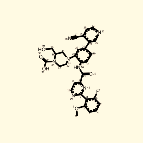 COc1cccc(F)c1-c1nccc(C(=O)Nc2ccc(-c3cnccc3C#N)cc2N2CCN(C(=O)O)C(CO)C2)n1